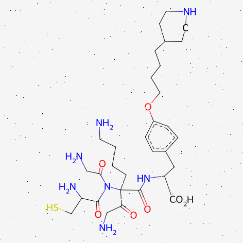 NCCCCC(C(=O)CN)(C(=O)NC(Cc1ccc(OCCCCC2CCNCC2)cc1)C(=O)O)N(C(=O)CN)C(=O)C(N)CS